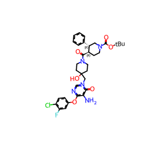 CC(C)(C)OC(=O)N1CC[C@@H](C(=O)N2CCC(O)(Cn3cnc(Oc4ccc(Cl)c(F)c4)c(N)c3=O)CC2)[C@H](c2ccccc2)C1